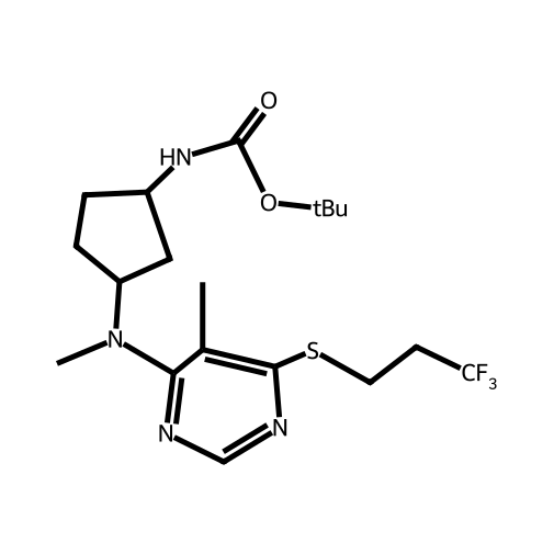 Cc1c(SCCC(F)(F)F)ncnc1N(C)C1CCC(NC(=O)OC(C)(C)C)C1